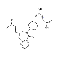 CN(C)CCC1Cc2ncccc2C(=O)N(C2CCCCC2)C1.O=C(O)/C=C/C(=O)O